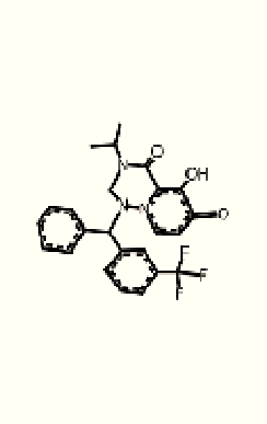 CC(C)N1CN(C(c2ccccc2)c2cccc(C(F)(F)F)c2)n2ccc(=O)c(O)c2C1=O